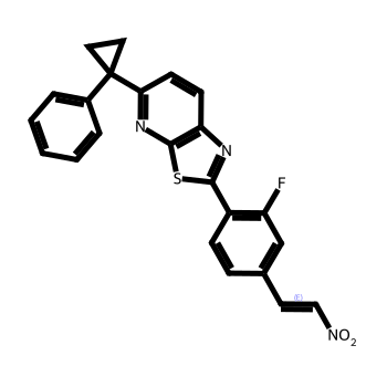 O=[N+]([O-])/C=C/c1ccc(-c2nc3ccc(C4(c5ccccc5)CC4)nc3s2)c(F)c1